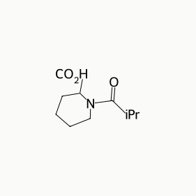 CC(C)C(=O)N1CCCCC1C(=O)O